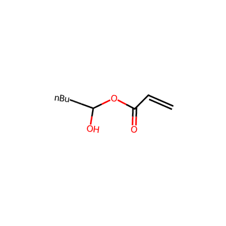 C=CC(=O)OC(O)CCCC